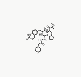 CC(NC(=O)CN1CCOCC1)C(=O)NC(Cc1ccc2c(c1)COC(=O)N2)C(=O)NC(CC1CCCC1)C(=O)C1(C)CO1